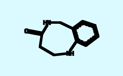 O=C1CCNc2ccccc2CN1